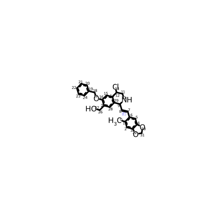 Cc1cc2c(cc1/C=C/C1NCC(Cl)c3cc(OCc4ccccc4)c(CO)cc31)OCO2